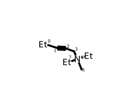 CCC#CC[N+](C)(CC)CC